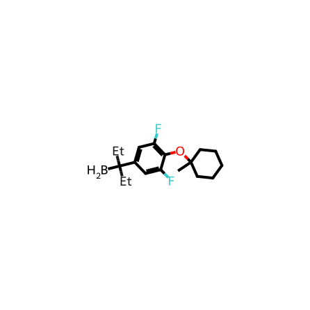 BC(CC)(CC)c1cc(F)c(OC2(C)CCCCC2)c(F)c1